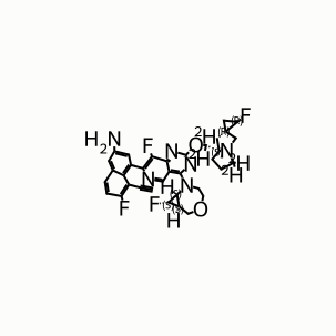 [2H]C1([2H])CC[C@@]2(C([2H])([2H])Oc3nc(N4CCOC[C@H]5[C@H](F)[C@H]54)c4cnc(-c5cc(N)cc6ccc(F)c(C#C)c56)c(F)c4n3)C[C@@]3(C[C@H]3F)CN12